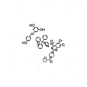 COc1cc2nc(N3CCN(C(=O)C4CCCO4)CC3)nc(N)c2cc1OC.Clc1ccccc1C(c1ccccc1)(c1ccccc1)n1ccnc1.Oc1ccc(/C=C/c2cc(O)cc(O)c2)cc1